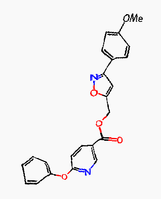 COc1ccc(-c2cc(COC(=O)c3ccc(Oc4ccccc4)nc3)on2)cc1